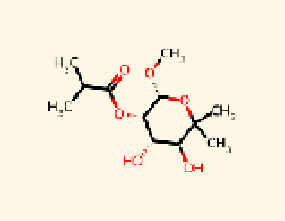 CO[C@@H]1OC(C)(C)[C@@H](O)[C@H](O)[C@@H]1OC(=O)C(C)C